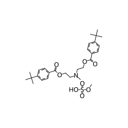 CN(CCOC(=O)c1ccc(C(C)(C)C)cc1)CCOC(=O)c1ccc(C(C)(C)C)cc1.COS(=O)(=O)O